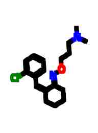 CN(C)CCCON=C1CCCCC1=Cc1ccccc1Cl